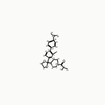 Cc1cc(C2(C3CCN(C(=O)C(C)C)CC3)OCCO2)ccc1-c1ccc(N(C)C)cc1